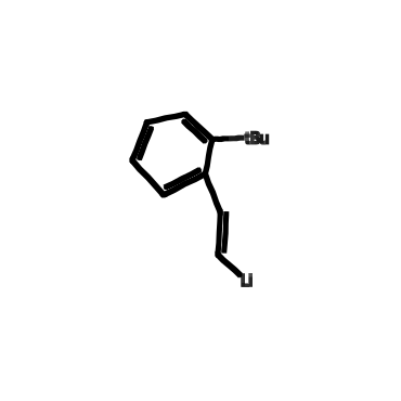 [Li]/[CH]=C/c1ccccc1C(C)(C)C